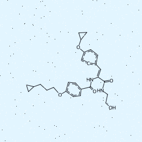 O=C(NCCO)C(=Cc1ccc(OC2CC2)cc1)NC(=O)c1ccc(OCCCC2CC2)cc1